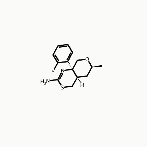 C[C@H]1C[C@H]2CSC(N)=N[C@@]2(c2ccccc2F)CO1